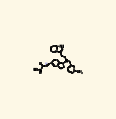 Cc1cccc(CN(CCc2c[nH]c3ccccc23)C2CCc3cc(/C=C/C(=O)NO)ccc32)c1